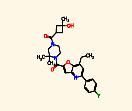 CCc1cc(-c2ccc(F)cc2)nc2cc(C(=O)N3CCN(C(=O)C4CC(C)(O)C4)CC3(C)C)oc12